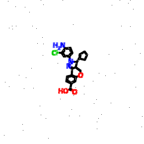 Nc1ccc(N2N=C3c4ccc(C(=O)O)cc4OCC3C2C2=CCCC2)cc1Cl